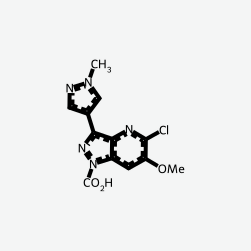 COc1cc2c(nc1Cl)c(-c1cnn(C)c1)nn2C(=O)O